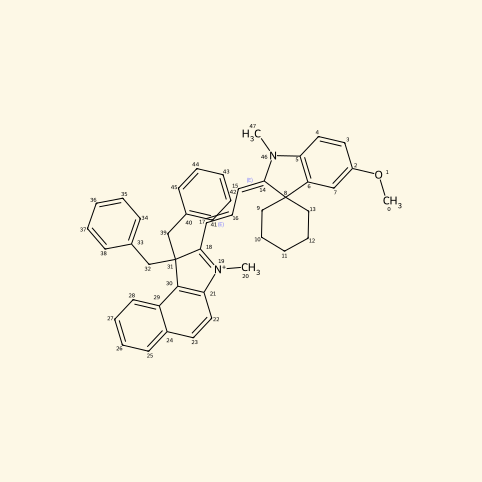 COc1ccc2c(c1)C1(CCCCC1)/C(=C\C=C\C1=[N+](C)c3ccc4ccccc4c3C1(Cc1ccccc1)Cc1ccccc1)N2C